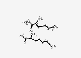 CSCCC(N)C(=O)O.NCCCCC(N)C(=O)O.[CaH2]